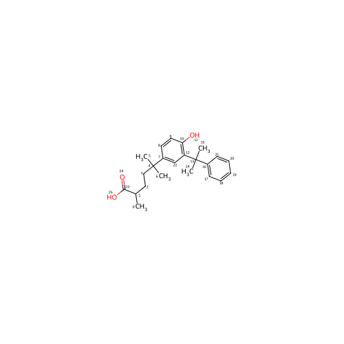 CC(CCC(C)(C)c1ccc(O)c(C(C)(C)c2ccccc2)c1)C(=O)O